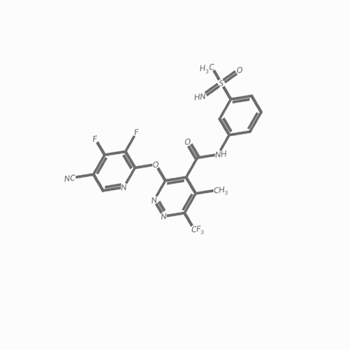 Cc1c(C(F)(F)F)nnc(Oc2ncc(C#N)c(F)c2F)c1C(=O)Nc1cccc(S(C)(=N)=O)c1